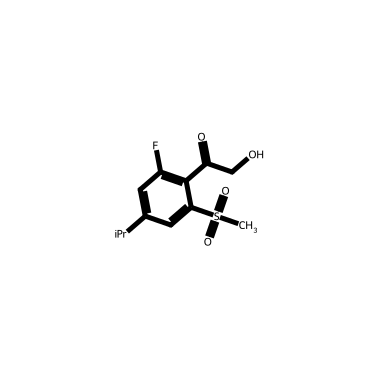 CC(C)c1cc(F)c(C(=O)CO)c(S(C)(=O)=O)c1